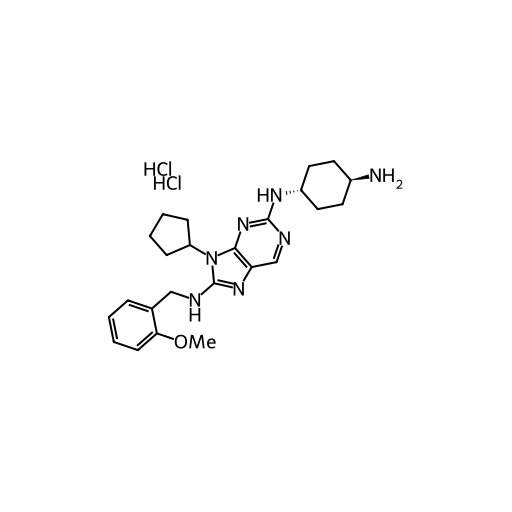 COc1ccccc1CNc1nc2cnc(N[C@H]3CC[C@H](N)CC3)nc2n1C1CCCC1.Cl.Cl